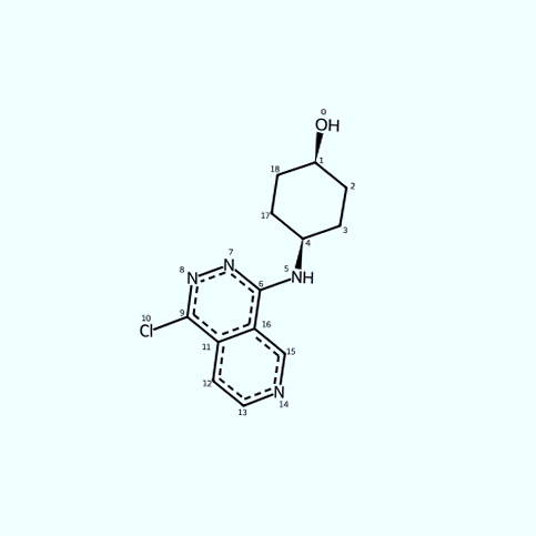 O[C@H]1CC[C@@H](Nc2nnc(Cl)c3ccncc23)CC1